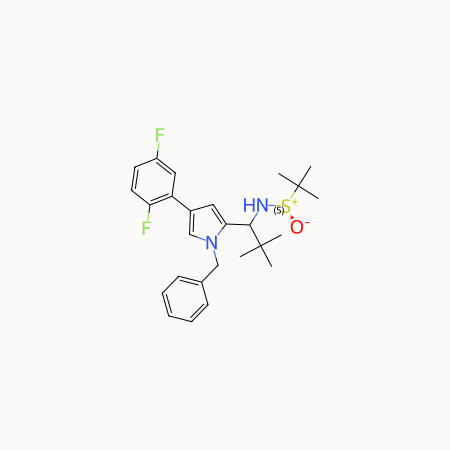 CC(C)(C)C(N[S@+]([O-])C(C)(C)C)c1cc(-c2cc(F)ccc2F)cn1Cc1ccccc1